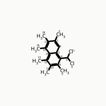 Cc1cc2c(C(Cl)Cl)c(C)c(C)c(C)c2c(C)c1C